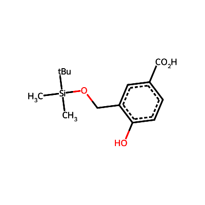 CC(C)(C)[Si](C)(C)OCc1cc(C(=O)O)ccc1O